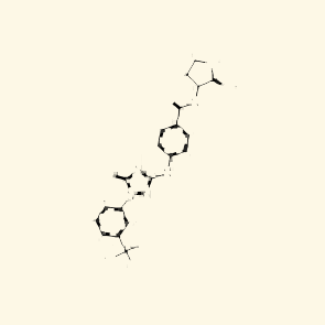 O=C(NC1CCOC1=O)c1ccc(Nc2nn(-c3cccc(C(F)(F)F)c3)c(=O)[nH]2)cc1